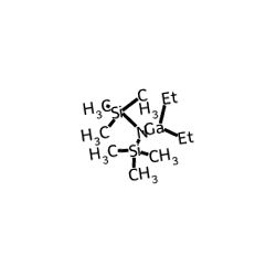 C[CH2][Ga]([CH2]C)[N]([Si](C)(C)C)[Si](C)(C)C